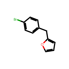 Brc1ccc([CH]c2ccco2)cc1